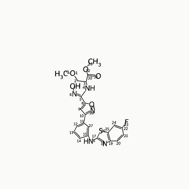 COCC(NC(=NO)c1cc(-c2cccc(Nc3nc4ccc(F)cc4s3)c2)no1)C(=O)OC